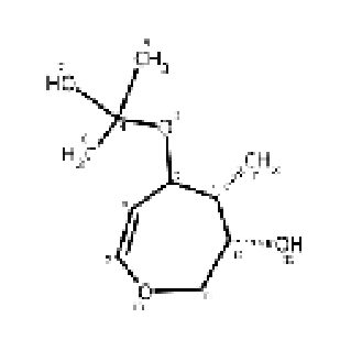 C[C@H]1C(OC(C)(C)O)C=COC[C@H]1O